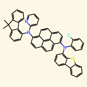 CC1(C)c2ccccc2-c2c(N(c3ccccn3)c3ccc4ccc5c(N(c6ccccc6F)c6cccc7c6sc6ccccc67)ccc6ccc3c4c65)cccc21